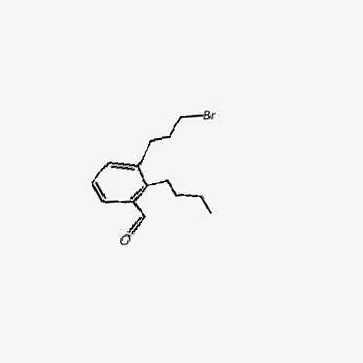 CCCCc1c(C=O)cccc1CCCBr